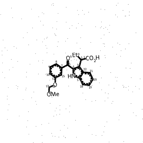 CCC(C(=O)O)c1c(C(=O)c2cccc(OCOC)c2)[nH]c2ccccc12